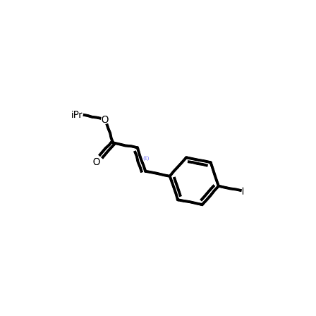 CC(C)OC(=O)/C=C/c1ccc(I)cc1